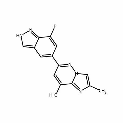 Cc1cn2nc(-c3cc(F)c4n[nH]cc4c3)cc(C)c2n1